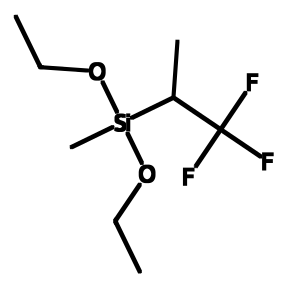 CCO[Si](C)(OCC)C(C)C(F)(F)F